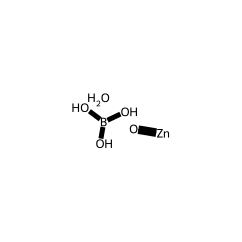 O.OB(O)O.[O]=[Zn]